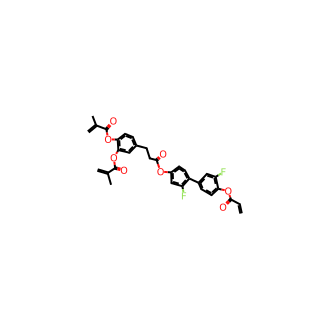 C=CC(=O)Oc1ccc(-c2ccc(OC(=O)CCc3ccc(OC(=O)C(=C)C)c(OC(=O)C(=C)C)c3)cc2F)cc1F